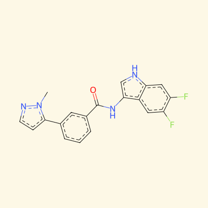 Cn1nccc1-c1cccc(C(=O)Nc2c[nH]c3cc(F)c(F)cc23)c1